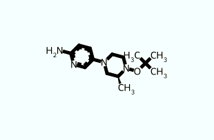 C[C@H]1CN(c2ccc(N)nc2)CCN1OC(C)(C)C